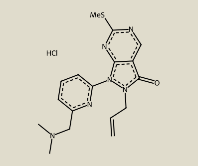 C=CCn1c(=O)c2cnc(SC)nc2n1-c1cccc(CN(C)C)n1.Cl